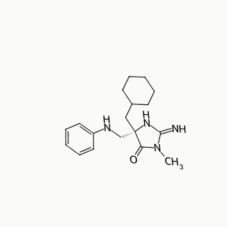 CN1C(=N)N[C@](CNc2ccccc2)(CC2CCCCC2)C1=O